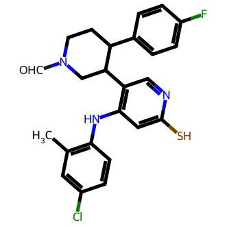 Cc1cc(Cl)ccc1Nc1cc(S)ncc1C1CN(C=O)CCC1c1ccc(F)cc1